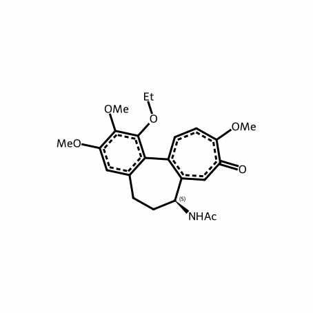 CCOc1c(OC)c(OC)cc2c1-c1ccc(OC)c(=O)cc1[C@@H](NC(C)=O)CC2